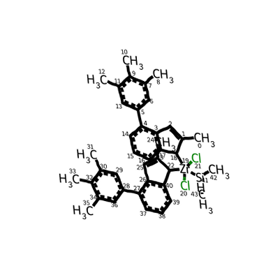 CC1=Cc2c(-c3cc(C)c(C)c(C)c3)cccc2[CH]1[Zr]([Cl])([Cl])([CH]1C(C)=Cc2c(-c3cc(C)c(C)c(C)c3)cccc21)[SiH](C)C